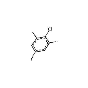 Cc1cc(I)cc(C)c1Cl